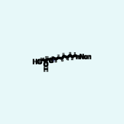 CCCCCCCCCCCCCCCC/C=C/OCC(O)CO